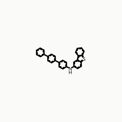 c1ccc(-c2ccc(-c3ccc(Nc4ccc5sc6ccccc6c5c4)cc3)cc2)cc1